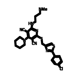 CNCCCNc1nc(SCc2csc(-c3ccc(Cl)cc3)n2)c(C#N)c(N2CCCCC2)c1C#N